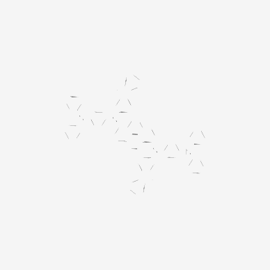 CC1(C)c2ccccc2-c2ccc(N(c3ccc(N(c4ccccc4)c4ccccc4)cc3)c3ccc4ccc5c(N(c6ccc(N(c7ccccc7)c7ccccc7)cc6)c6ccc7c(c6)C(C)(C)c6ccccc6-7)ccc6ccc3c4c65)cc21